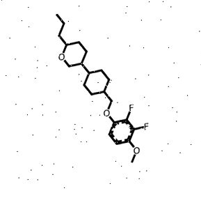 CCCC1CCC(C2CCC(COc3ccc(OC)c(F)c3F)CC2)CO1